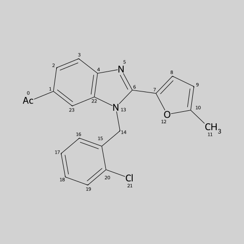 CC(=O)c1ccc2nc(-c3ccc(C)o3)n(Cc3ccccc3Cl)c2c1